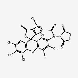 O=C(ON1C(=O)CCC1=O)c1cc(Cl)c2c(c1Cl)C1(OC2=O)c2cc(Cl)c(O)c(Cl)c2Oc2c1cc(Cl)c(O)c2Cl